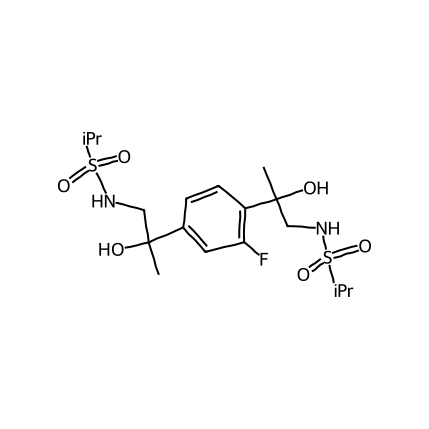 CC(C)S(=O)(=O)NCC(C)(O)c1ccc(C(C)(O)CNS(=O)(=O)C(C)C)c(F)c1